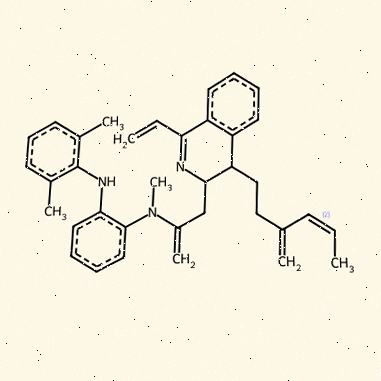 C=CC1=NC(CC(=C)N(C)c2ccccc2Nc2c(C)cccc2C)C(CCC(=C)/C=C\C)c2ccccc21